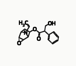 C=CN1C2CC(OC(=O)C(CO)c3ccccc3)C1C1OC12